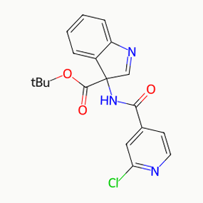 CC(C)(C)OC(=O)C1(NC(=O)c2ccnc(Cl)c2)C=Nc2ccccc21